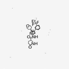 CCC(F)(F)c1cccc(-c2cc(NC(=O)C3CCC(=O)NC3)nn2C2CCOCC2)c1